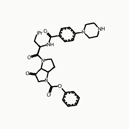 CC(C)CC(NC(=O)c1ccc(N2CCNCC2)cc1)C(=O)N1CCC2C1C(=O)CN2C(=O)Oc1ccccc1